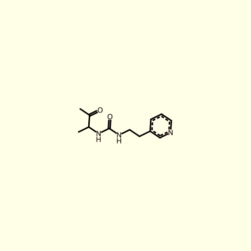 CC(=O)C(C)NC(=O)NCCc1cccnc1